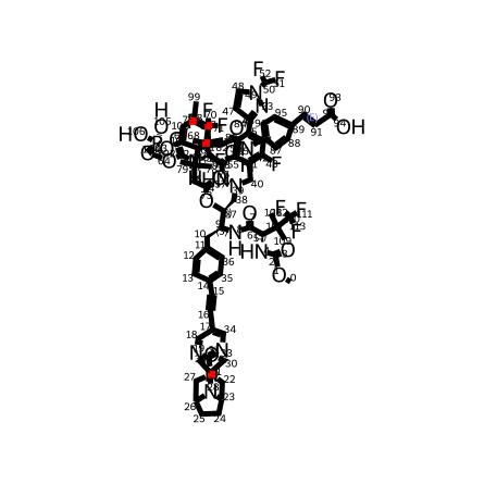 COC(=O)N[C@H](C(=O)N[C@@H](Cc1ccc(C#Cc2cnc(N3CC4CCC(C3)N4C3COC3)nc2)cc1)[C@H](CN(Cc1c(F)cc(-c2ccn(C(F)F)n2)cc1F)NC(=O)[C@@H](NC(=O)OC)C(C)(C)C(F)(F)F)OC(=O)CC(C)(C)c1c(CC(=O)Nc2ccc(/C=C/C(=O)O)cc2)cc(C)cc1OP(=O)(O)O)C(C)(C)C(F)(F)F